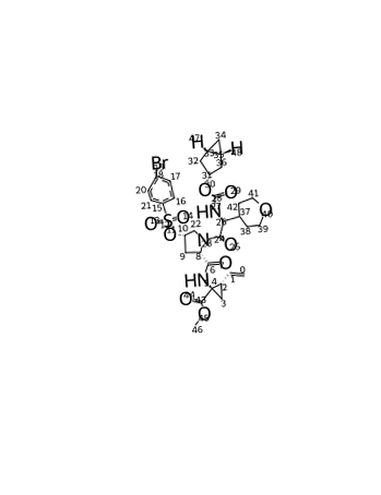 C=C[C@@H]1C[C@]1(NC(=O)[C@@H]1C[C@H](OS(=O)(=O)c2ccc(Br)cc2)CN1C(=O)[C@@H](NC(=O)O[C@@H]1C[C@@H]2C[C@@H]2C1)C1CCOCC1)C(=O)OC